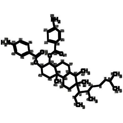 CCC(C(C)CCCC(C)C)C1(C)CCC2C(CCC3C(OC(=O)c4ccc(N)cc4)C(OC(=O)c4ccc(N)cc4)CCC23C)C1C